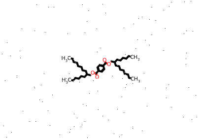 CCCCCCCCC(CCCCCC)COC(=O)c1ccc(C(=O)OCC(CCCCCC)CCCCCCCC)cc1